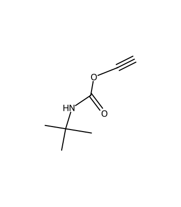 C#COC(=O)NC(C)(C)C